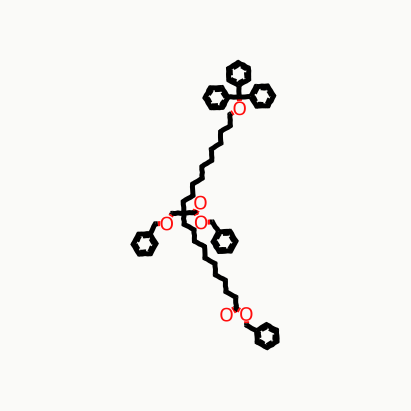 O=C(CCCCCCCCCCC(CCCCCCCCCCCOC(c1ccccc1)(c1ccccc1)c1ccccc1)(COCc1ccccc1)C(=O)OCc1ccccc1)OCc1ccccc1